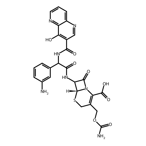 NC(=O)OCC1=C(C(=O)O)N2C(=O)C(NC(=O)C(NC(=O)c3cnc4cccnc4c3O)c3cccc(N)c3)[C@H]2SC1